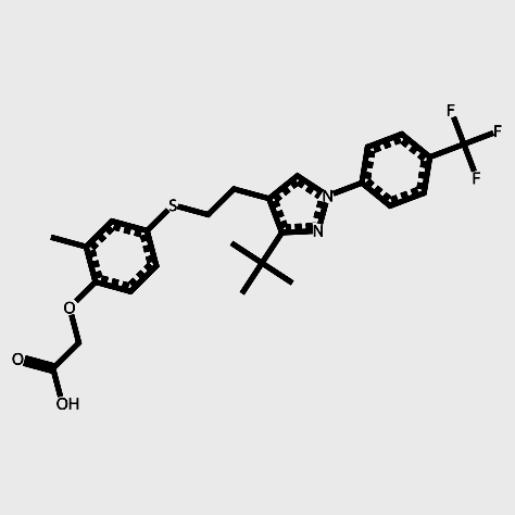 Cc1cc(SCCc2cn(-c3ccc(C(F)(F)F)cc3)nc2C(C)(C)C)ccc1OCC(=O)O